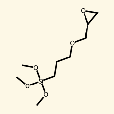 CO[Si](CCCOC[C@@H]1CO1)(OC)OC